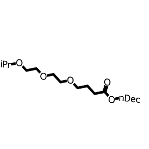 CCCCCCCCCCOC(=O)CCCOCCOCCOC(C)C